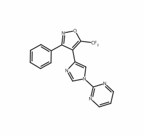 FC(F)(F)c1onc(-c2ccccc2)c1-c1cn(-c2ncccn2)cn1